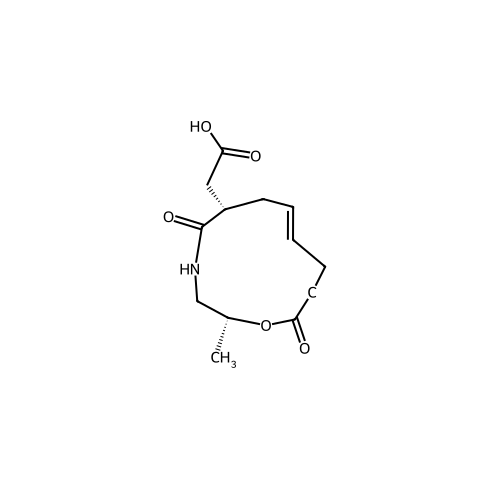 C[C@@H]1CNC(=O)[C@H](CC(=O)O)C/C=C/CCC(=O)O1